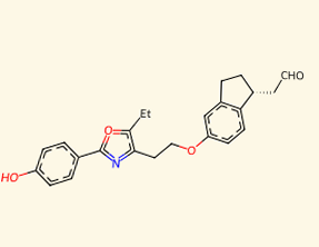 CCc1oc(-c2ccc(O)cc2)nc1CCOc1ccc2c(c1)CC[C@@H]2CC=O